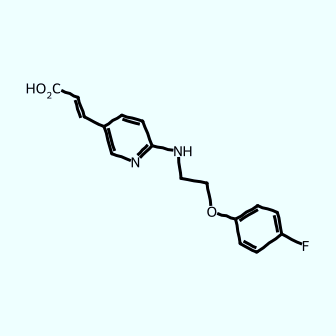 O=C(O)C=Cc1ccc(NCCOc2ccc(F)cc2)nc1